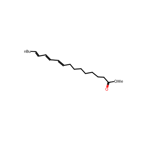 CCCCC=CC=CC=CCCCCCCCC(=O)OC